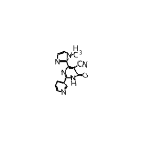 Cn1ccnc1-c1nc(-c2cccnc2)[nH]c(=O)c1C#N